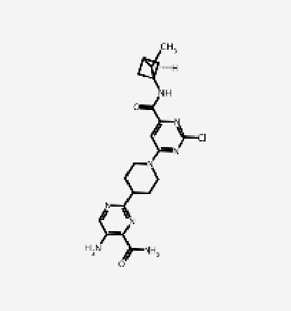 C[C@@H]1C2CC1(NC(=O)c1cc(N3CCC(c4ncc(N)c(C(N)=O)n4)CC3)nc(Cl)n1)C2